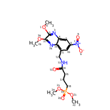 COc1nc2cc([N+](=O)[O-])cc(CNC(=O)CCCP(=O)(OC)OC)c2nc1OC